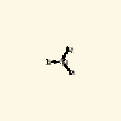 C[CH2][1Al]([CH2]C)[CH2]C